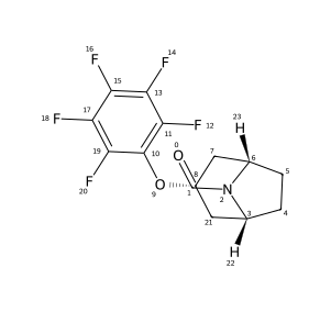 O=CN1[C@@H]2CC[C@H]1C[C@@H](Oc1c(F)c(F)c(F)c(F)c1F)C2